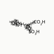 CCC[N+]1=C(/C=C/C=C/C=C/C=C2/N(CCCCCC(=O)O)c3ccc(S(=O)(=O)O)cc3C2(C)C)C(C)(C)c2cc(C)ccc21